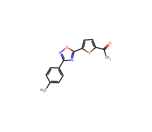 Cc1ccc(-c2noc(-c3ccc(C(=O)C(F)(F)F)s3)n2)cc1